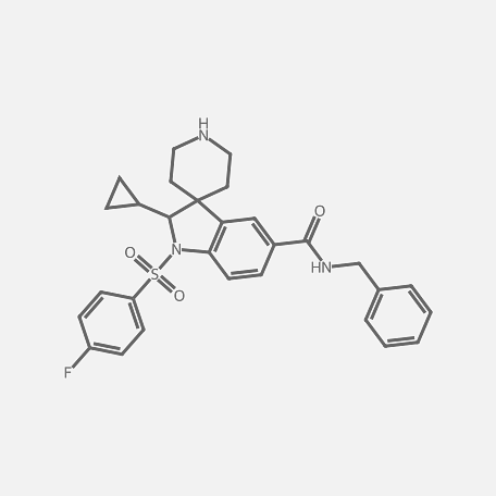 O=C(NCc1ccccc1)c1ccc2c(c1)C1(CCNCC1)C(C1CC1)N2S(=O)(=O)c1ccc(F)cc1